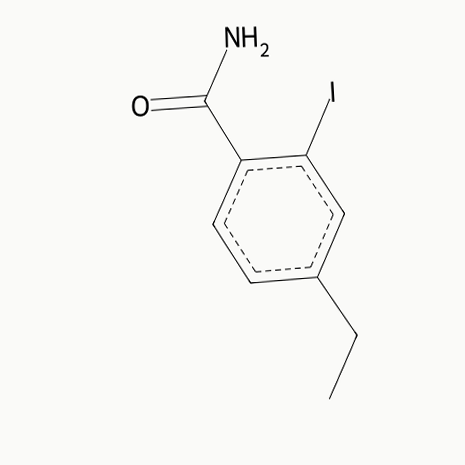 CCc1ccc(C(N)=O)c(I)c1